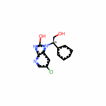 OC[C@@H](c1ccccc1)n1c(O)nc2ncc(Cl)cc21